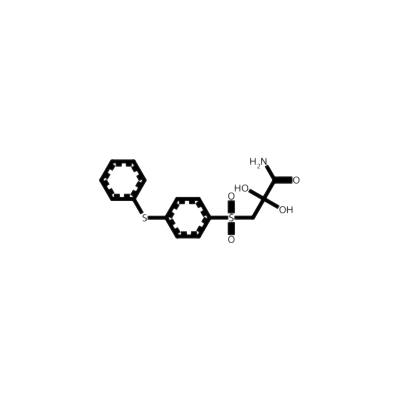 NC(=O)C(O)(O)CS(=O)(=O)c1ccc(Sc2ccccc2)cc1